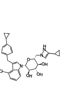 O[C@@H]1[C@@H](O)[C@H](n2cc(Cc3ccc(C4CC4)cc3)c3c(Cl)cccc32)O[C@H](Cn2cc(C3CC3)[nH]2)[C@H]1O